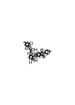 Cc1cc(Cl)c(OCC(O)CNc2cc[nH]c(=O)c2-c2nc3cc4c(cc3[nH]2)C(=O)N(C2CCN(C)CC2)C4=O)c(Cl)c1